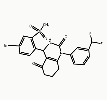 CS(=O)(=O)c1cc(Br)ccc1C1NC(=O)N(c2cccc(C(F)F)c2)C2=C1C(=O)CCC2